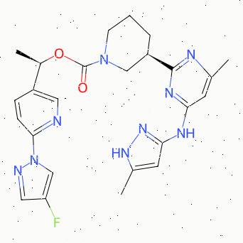 Cc1cc(Nc2cc(C)[nH]n2)nc([C@@H]2CCCN(C(=O)O[C@H](C)c3ccc(-n4cc(F)cn4)nc3)C2)n1